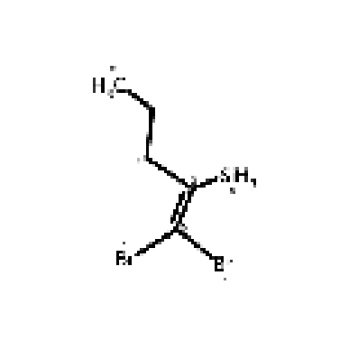 CCCC([SiH3])=C(Br)Br